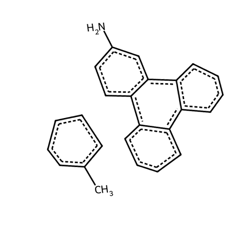 Cc1ccccc1.Nc1ccc2c3ccccc3c3ccccc3c2c1